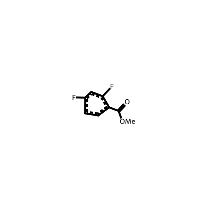 COC(=O)c1[c]cc(F)cc1F